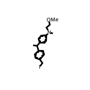 COCCN(C)c1ccc(C(C)c2ccc(CI)cc2)cc1